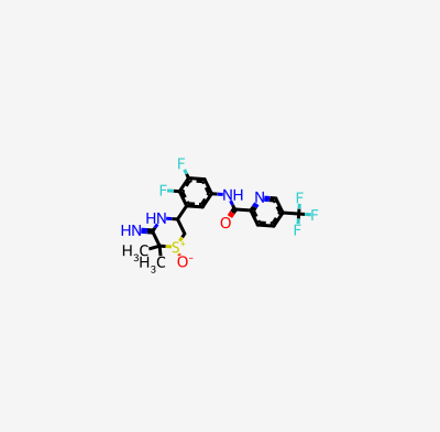 CC1(C)C(=N)NC(c2cc(NC(=O)c3ccc(C(F)(F)F)cn3)cc(F)c2F)C[S+]1[O-]